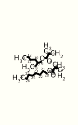 C=C(C)C(=O)OCC(CC)CCCC.C=C(C)C(=O)OCCCCCCCC